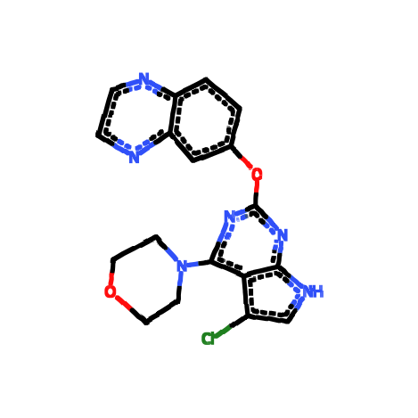 Clc1c[nH]c2nc(Oc3ccc4nccnc4c3)nc(N3CCOCC3)c12